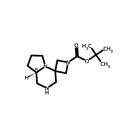 CC(C)(C)OC(=O)N1CC2(CNC[C@H]3CCCN32)C1